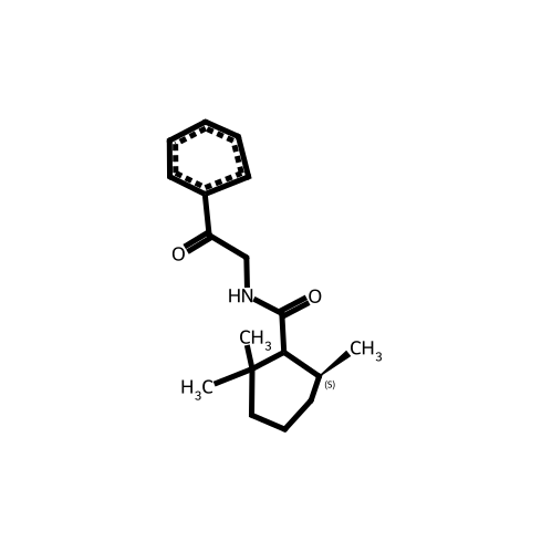 C[C@H]1CCCC(C)(C)C1C(=O)NCC(=O)c1ccccc1